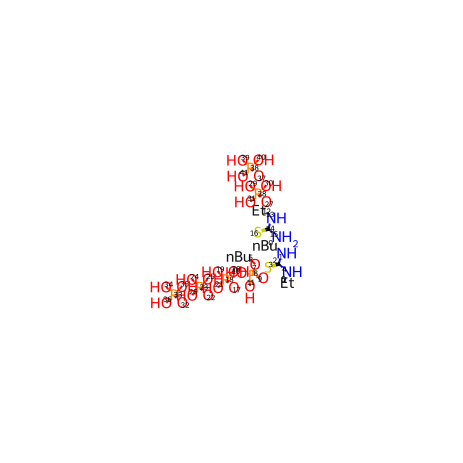 CCCCNC(=S)NCC.CCCCOP(=O)(O)O.CCNC(N)=S.O=P(O)(O)O.O=P(O)(O)O.O=P(O)(O)O.O=P(O)(O)O.O=P(O)(O)O